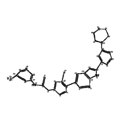 O=C(Cc1ccc(-c2cnc3[nH]c(-c4ccnc(N5CCOCC5)c4)cc3c2)c(F)c1)Nc1cncc(C(F)(F)F)c1